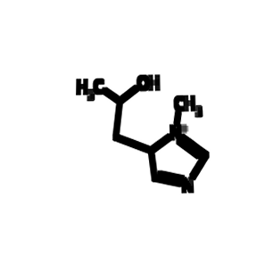 CC(O)CC1C=NC=[N+]1C